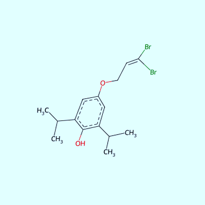 CC(C)c1cc(OCC=C(Br)Br)cc(C(C)C)c1O